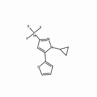 F[PH](F)(F)c1cc(-c2ccco2)n(C2CC2)n1